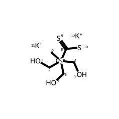 C[S-](CO)(CO)(CO)C(=S)[S-].[K+].[K+]